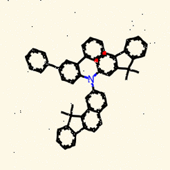 CC1(C)c2ccccc2-c2ccc(N(c3ccc4ccc5c(c4c3)C(C)(C)c3ccccc3-5)c3ccc(-c4ccccc4)cc3-c3ccccc3)cc21